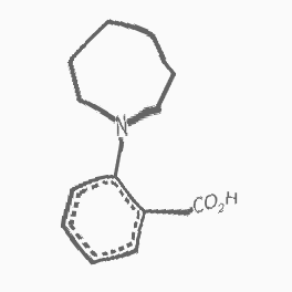 O=C(O)c1ccccc1N1CCCCCC1